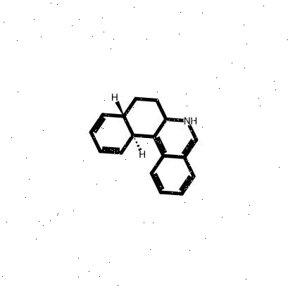 C1=C[C@@H]2CCC3NC=c4ccccc4=C3[C@H]2C=C1